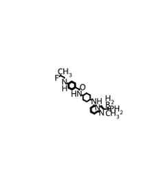 BC(C)(P)c1cn2c(NC3CCC(NC(=O)c4ccc(NCC(C)F)cc4)CC3)cccc2n1